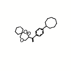 C=C(c1ccc(C2CCCCCCC2)cc1)C1COCC2(CCCCC2)OO1